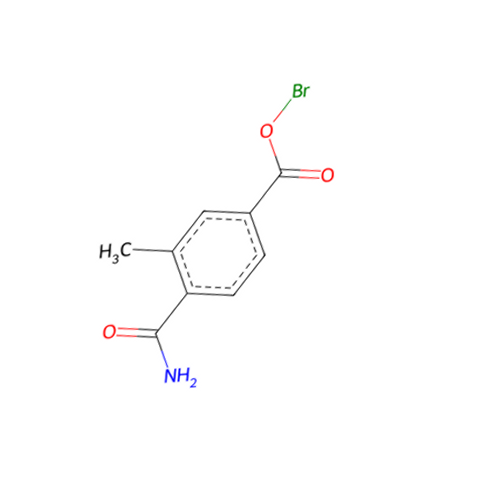 Cc1cc(C(=O)OBr)ccc1C(N)=O